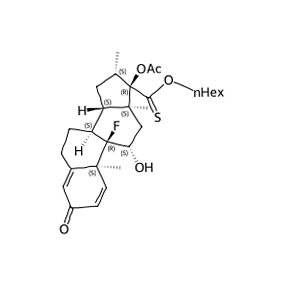 CCCCCCOC(=S)[C@@]1(OC(C)=O)[C@@H](C)C[C@H]2[C@@H]3CCC4=CC(=O)C=C[C@]4(C)[C@@]3(F)[C@@H](O)C[C@@]21C